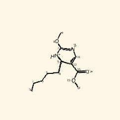 CCCCCC1NC(OC)=NC=C1C(=O)OC